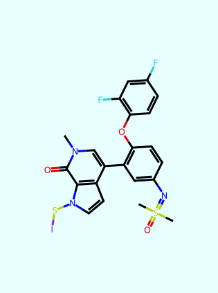 Cn1cc(-c2cc(N=S(C)(C)=O)ccc2Oc2ccc(F)cc2F)c2ccn(SI)c2c1=O